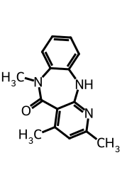 Cc1cc(C)c2c(n1)Nc1ccccc1N(C)C2=O